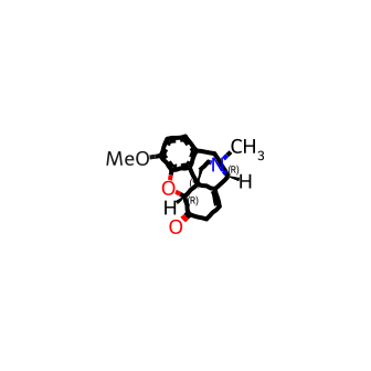 COc1ccc2c3c1O[C@H]1C(=O)CC=C4[C@@H](C2)N(C)CC[C@]431